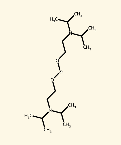 CC(C)N(CC[O][Zr][O]CCN(C(C)C)C(C)C)C(C)C